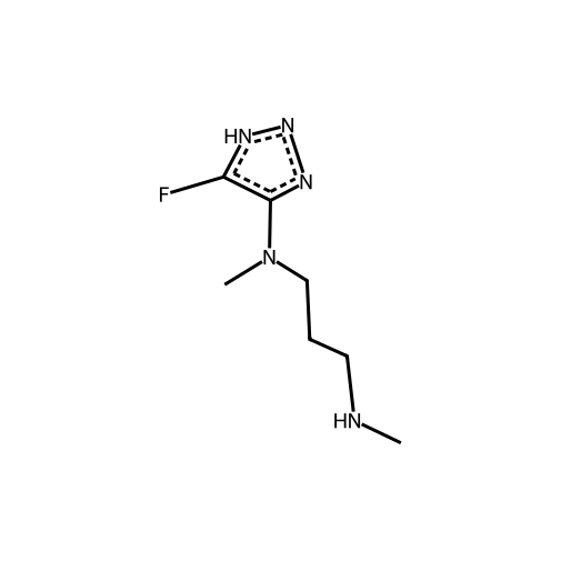 CNCCCN(C)c1nn[nH]c1F